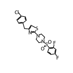 O=S(=O)(c1ccc(F)cc1F)N1CCN(c2nc(Cc3ccc(Cl)cc3)cs2)CC1